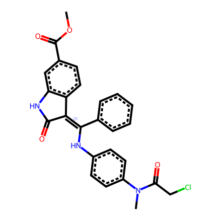 COC(=O)c1ccc2c(c1)NC(=O)/C2=C(\Nc1ccc(N(C)C(=O)CCl)cc1)c1ccccc1